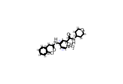 C[C@H](/C=C(\C=C/N)NC(=O)Cc1ccccc1Cl)C(=O)NC1CCOCC1